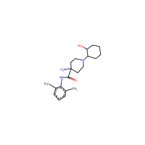 Cc1cccc(C)c1NC(=O)C1(N)CCN(C2CCCCC2O)CC1